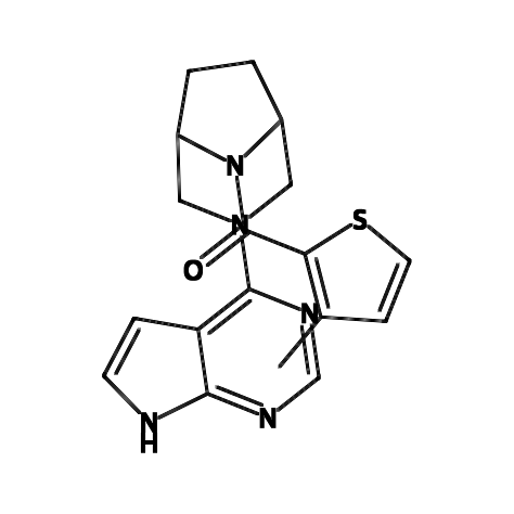 Cc1ccsc1C(=O)N1C2CCC1CN(c1ncnc3[nH]ccc13)C2